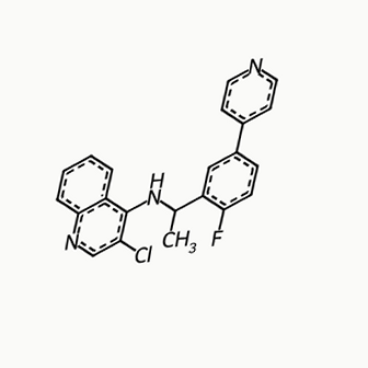 CC(Nc1c(Cl)cnc2ccccc12)c1cc(-c2ccncc2)ccc1F